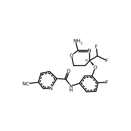 N#Cc1ccc(C(=O)Nc2ccc(F)c(O[C@@]3(C(F)F)CCOC(N)=N3)c2)nc1